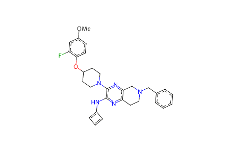 COc1ccc(OC2CCN(c3nc4c(nc3NC3=CC=C3)CCN(Cc3ccccc3)C4)CC2)c(F)c1